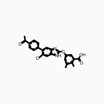 CC(=O)c1ccc(-c2cc3nc(Oc4cc(C)c(C)c(C(=O)O)c4)[nH]c3cc2Cl)cc1